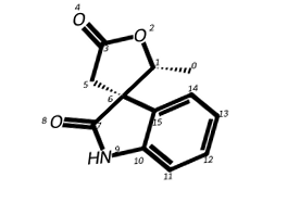 C[C@H]1OC(=O)C[C@]12C(=O)Nc1ccccc12